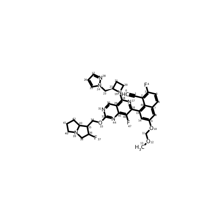 C#Cc1c(F)ccc2cc(OCOC)cc(-c3nc(N4CC[C@@H]4Cn4cccn4)c4cnc(OCC5C(F)CN6CCCC56)nc4c3F)c12